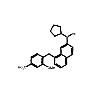 COc1cc(C(=O)O)ccc1Cc1cccc2ccc(N(C(C)=O)C3CCCC3)cc12